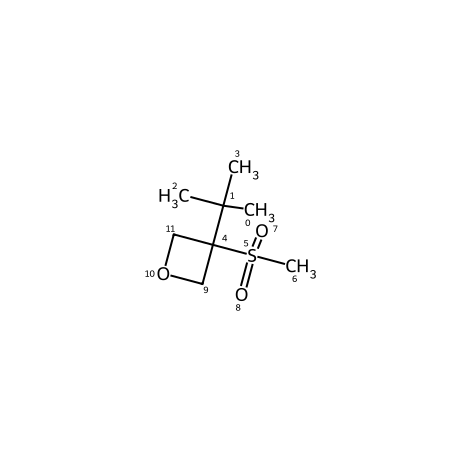 CC(C)(C)C1(S(C)(=O)=O)COC1